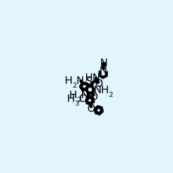 Cc1cc(Oc2ccccc2)ccc1C1(N)C(=O)C(N)c2c(C(=O)NC3CCCN(C#N)C3)sc3c(N)ccc1c23